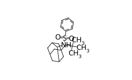 CC(C)(C)CC12CC3CC(C1)C(NS(=O)(=O)c1ccccc1)C(C3)C2